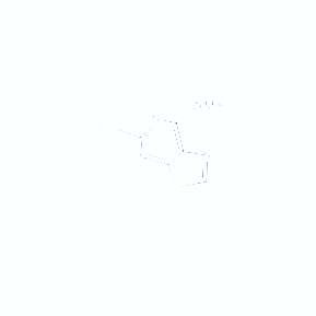 CNc1nc(C)nc2c1ncp2C